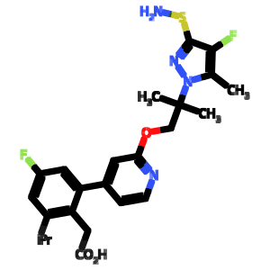 Cc1c(F)c(SN)nn1C(C)(C)COc1cc(-c2cc(F)cc(C(C)C)c2CC(=O)O)ccn1